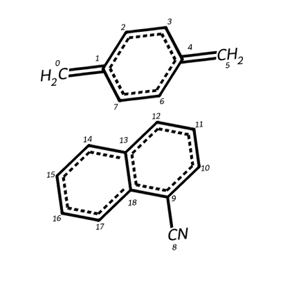 C=c1ccc(=C)cc1.N#Cc1cccc2ccccc12